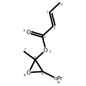 CC=CC(=O)OC1(C)OC1CCC